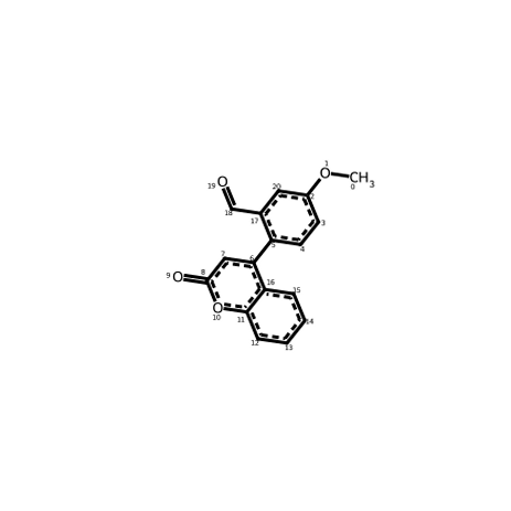 COc1ccc(-c2cc(=O)oc3ccccc23)c(C=O)c1